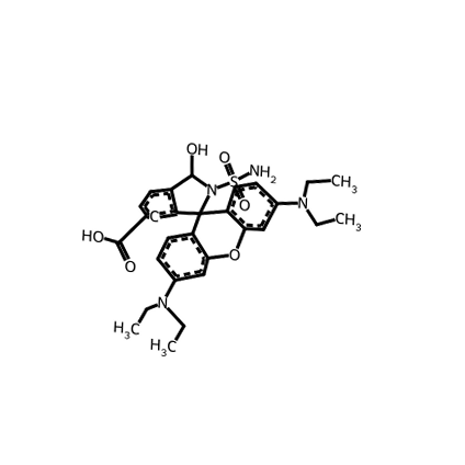 CCN(CC)c1ccc2c(c1)Oc1cc(N(CC)CC)ccc1C21c2cc(C(=O)O)ccc2C(O)N1S(N)(=O)=O